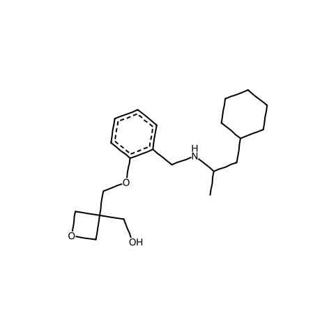 CC(CC1CCCCC1)NCc1ccccc1OCC1(CO)COC1